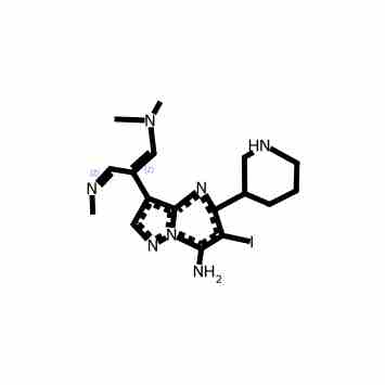 C/N=C\C(=C/N(C)C)c1cnn2c(N)c(I)c(C3CCCNC3)nc12